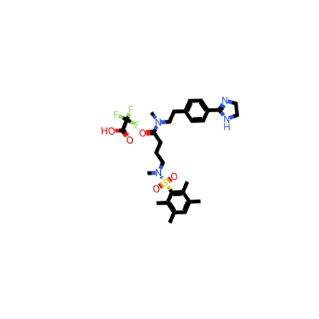 Cc1cc(C)c(C)c(S(=O)(=O)N(C)CCCC(=O)N(C)CCc2ccc(C3=NCCN3)cc2)c1C.O=C(O)C(F)(F)F